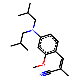 COc1cc(N(CC(C)C)CC(C)C)ccc1/C=C(/C)C#N